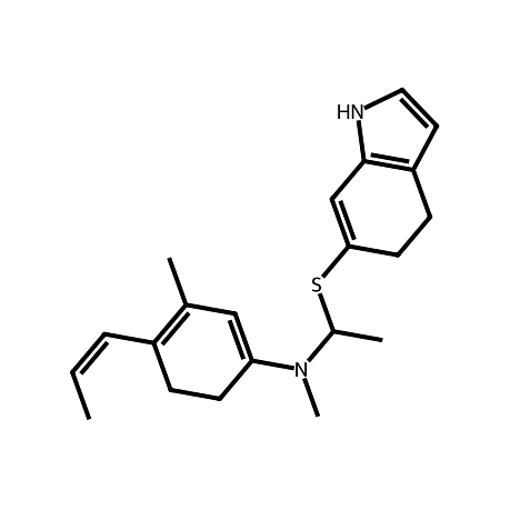 C/C=C\C1=C(C)C=C(N(C)C(C)SC2=Cc3[nH]ccc3CC2)CC1